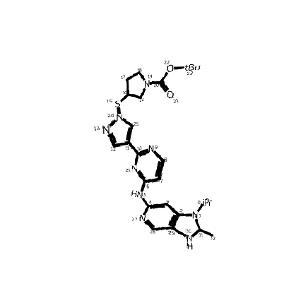 CC(C)N1c2cc(Nc3ccnc(-c4cnn(SC5CCN(C(=O)OC(C)(C)C)C5)c4)n3)ncc2NC1C